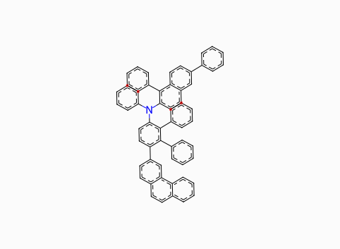 c1ccc(-c2ccc3c(-c4ccccc4)c(N(c4ccccc4)c4ccc(-c5ccc6ccc7ccccc7c6c5)c(-c5ccccc5)c4-c4ccccc4)ccc3c2)cc1